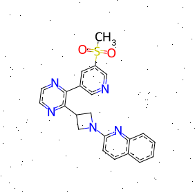 CS(=O)(=O)c1cncc(-c2nccnc2C2CN(c3ccc4ccccc4n3)C2)c1